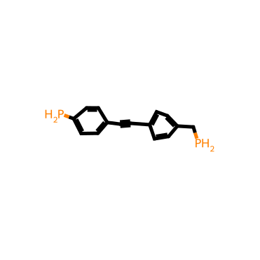 PCc1ccc(C#Cc2ccc(P)cc2)cc1